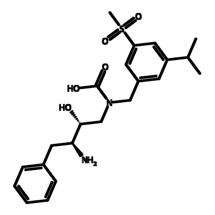 CC(C)c1cc(CN(C[C@@H](O)[C@@H](N)Cc2ccccc2)C(=O)O)cc(S(C)(=O)=O)c1